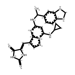 CC(Nc1cc(NC2CC2)n2ncc(/C=C3\NC(=O)NC3=O)c2n1)c1ccc2c(c1)OCO2